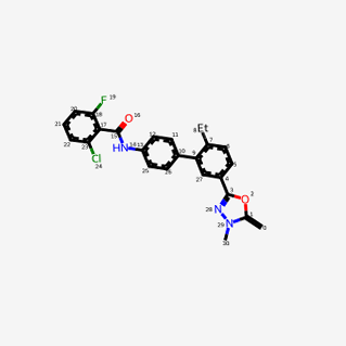 C=C1OC(c2ccc(CC)c(-c3ccc(NC(=O)c4c(F)cccc4Cl)cc3)c2)=NN1C